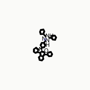 N=C(/N=C(\NCc1ccccc1)c1ccc(-n2c3ccccc3c3c4ccccc4c4c5ccccc5oc4c32)cc1)c1ccccc1